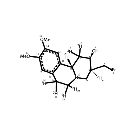 [2H]C1([2H])[C@@H](O)[C@@]([2H])(CC(C)C)CN2[C@@H]1c1cc(OC)c(OC)cc1C([2H])([2H])C2([2H])[2H]